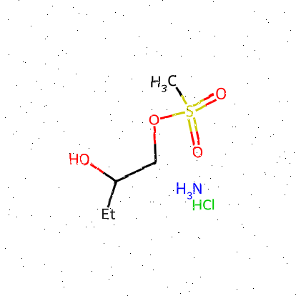 CCC(O)COS(C)(=O)=O.Cl.N